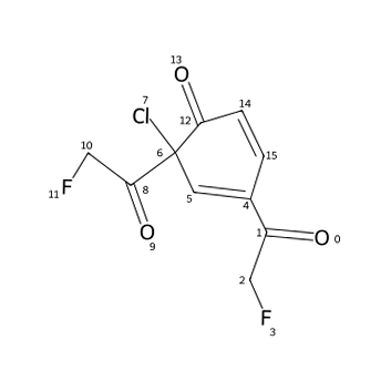 O=C(CF)C1=CC(Cl)(C(=O)CF)C(=O)C=C1